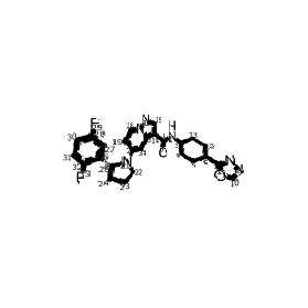 O=C(NC1CCC(c2nnco2)CC1)c1cnn2ccc(N3CCC[C@@H]3c3cc(F)ccc3F)cc12